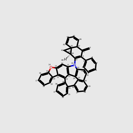 C=C1C(c2ccccc2)=C(n2c3cc4oc5ccccc5c4c4c3c3c5c(cccc5ccc32)-c2ccccc2-4)[C@H]2CC23C=CC=CC13